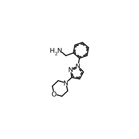 NCc1ccccc1-n1ccc(N2CCOCC2)n1